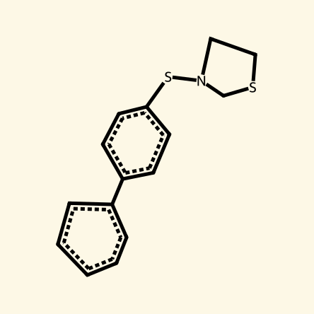 c1ccc(-c2ccc(SN3CCSC3)cc2)cc1